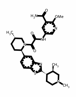 COc1ncc(NC(=O)C(=O)N2C[C@@H](C)CC[C@@H]2c2ccc3sc([C@H]4CCN(C)C[C@@H]4C)nc3c2)cc1C(N)=O